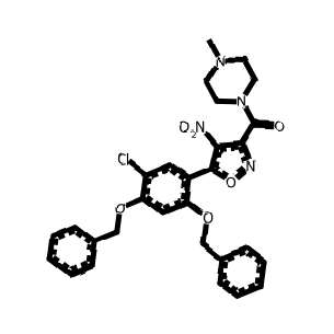 CN1CCN(C(=O)c2noc(-c3cc(Cl)c(OCc4ccccc4)cc3OCc3ccccc3)c2[N+](=O)[O-])CC1